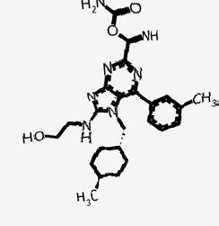 Cc1cccc(-c2nc(C(=N)OC(N)=O)nc3nc(NCCO)n(C[C@H]4CC[C@H](C)CC4)c23)c1